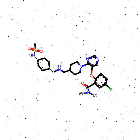 CCN(C(=O)c1cc(F)ccc1Oc1cncnc1N1CCC(CNC[C@H]2CC[C@@H](NS(C)(=O)=O)CC2)CC1)C(C)C